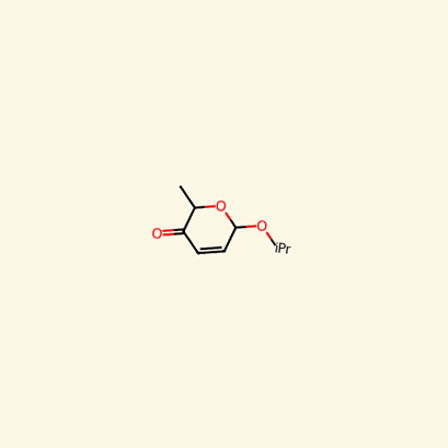 CC(C)OC1C=CC(=O)C(C)O1